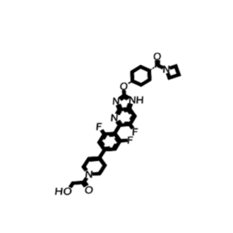 O=C(CO)N1CC=C(c2cc(F)c(-c3nc4nc(O[C@H]5CC[C@@H](C(=O)N6CCC6)CC5)[nH]c4cc3F)c(F)c2)CC1